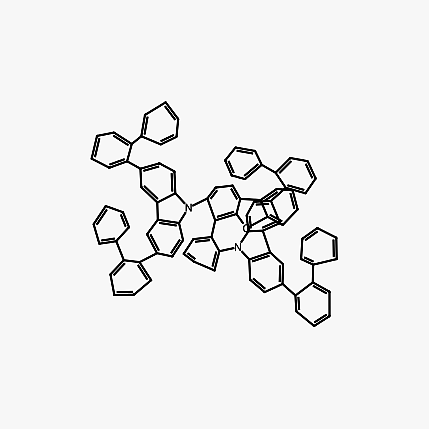 c1ccc(-c2ccccc2-c2ccc3c(c2)c2cc(-c4ccccc4-c4ccccc4)ccc2n3-c2ccccc2-c2c(-n3c4ccc(-c5ccccc5-c5ccccc5)cc4c4cc(-c5ccccc5-c5ccccc5)ccc43)ccc3c2oc2ccccc23)cc1